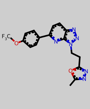 Cc1nnc(CCn2nnc3ccc(-c4ccc(OC(F)(F)F)cc4)nc32)o1